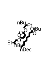 CCCCC(CC)COC(=O)/C=C\C(=O)OCC(CC)CCCC.CCCCCCCCCCCCCCCCCC(=O)OCC(C)C